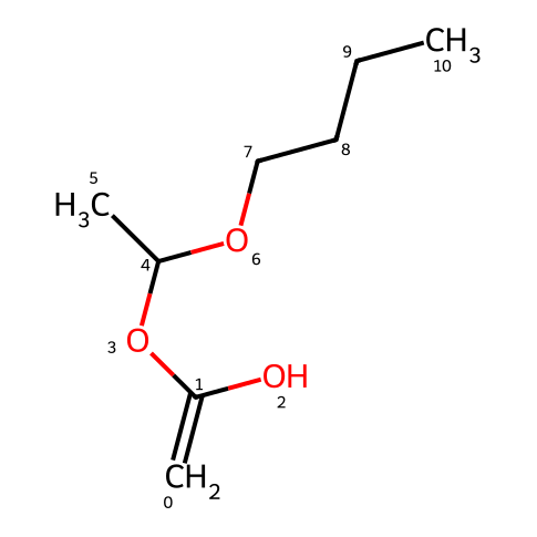 C=C(O)OC(C)OCCCC